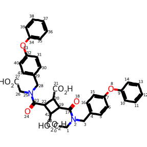 O=C(O)CN(Cc1ccc(Oc2ccccc2)cc1)C(=O)C1C(C(=O)O)C(C(=O)N(CC(=O)O)Cc2ccc(Oc3ccccc3)cc2)C1C(=O)O